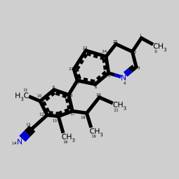 CCC1C=Nc2cc(-c3cc(C)c(C#N)c(C)c3C(C)CC)ccc2C1